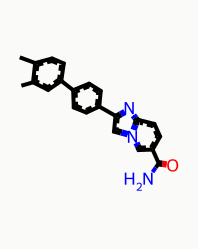 Cc1ccc(-c2ccc(-c3cn4cc(C(N)=O)ccc4n3)cc2)cc1C